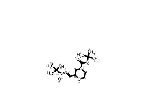 CC(C)(C)OC(=O)N1CCOC(C=N[S@+]([O-])C(C)(C)C)C1